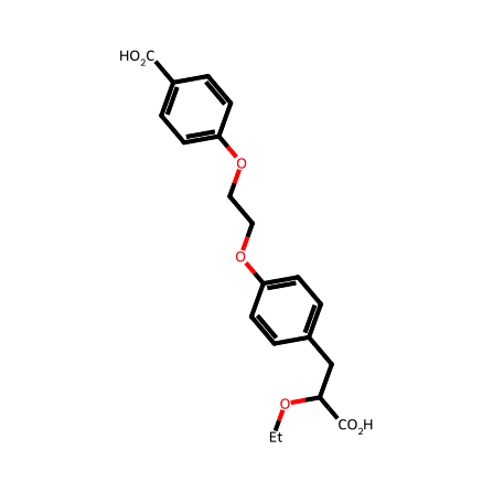 CCOC(Cc1ccc(OCCOc2ccc(C(=O)O)cc2)cc1)C(=O)O